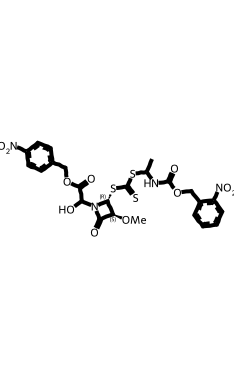 CO[C@H]1C(=O)N(C(O)C(=O)OCc2ccc([N+](=O)[O-])cc2)[C@@H]1SC(=S)SC(C)NC(=O)OCc1ccccc1[N+](=O)[O-]